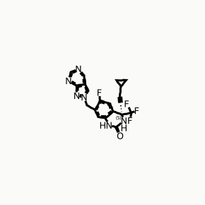 O=C1Nc2cc(Cn3cc4cncnc4n3)c(F)cc2[C@@](C#CC2CC2)(C(F)(F)F)N1